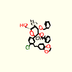 COC1(c2ccc(Cl)c(Cc3ccc4c(c3)OCCO4)c2)O[C@H](CO)[C@@H](C)[C@H](OCc2ccccc2)[C@H]1OCc1ccccc1